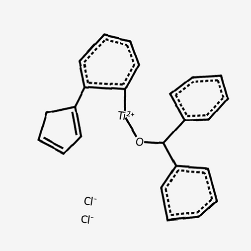 C1=CCC(c2cccc[c]2[Ti+2][O]C(c2ccccc2)c2ccccc2)=C1.[Cl-].[Cl-]